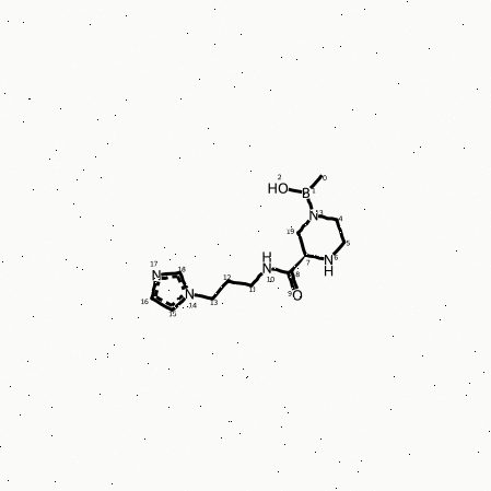 CB(O)N1CCN[C@@H](C(=O)NCCCn2ccnc2)C1